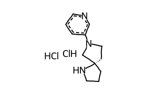 Cl.Cl.c1cncc(N2CC[C@@]3(CCCN3)C2)c1